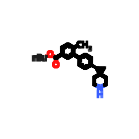 CCCCOC(=O)c1ccc(C)c(-c2ccc([C@H]3CC34CCNCC4)cc2)c1